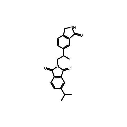 CC(C)c1ccc2c(c1)C(=O)N(CC(C)c1ccc3c(c1)C(=O)NC3)C2=O